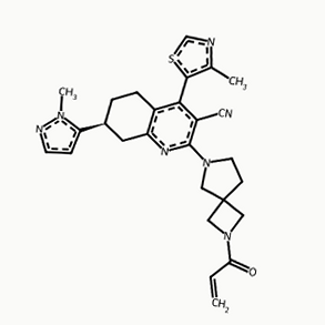 C=CC(=O)N1CC2(CCN(c3nc4c(c(-c5scnc5C)c3C#N)CC[C@H](c3ccnn3C)C4)C2)C1